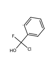 OC(F)(Cl)c1[c]cccc1